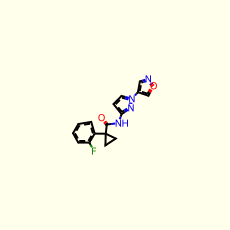 O=C(Nc1ccn(-c2cnoc2)n1)C1(c2ccccc2F)CC1